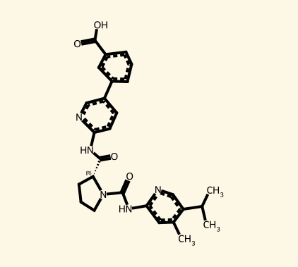 Cc1cc(NC(=O)N2CCC[C@@H]2C(=O)Nc2ccc(-c3cccc(C(=O)O)c3)cn2)ncc1C(C)C